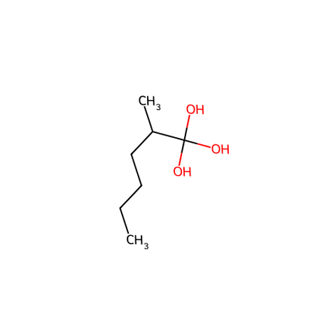 CCCCC(C)C(O)(O)O